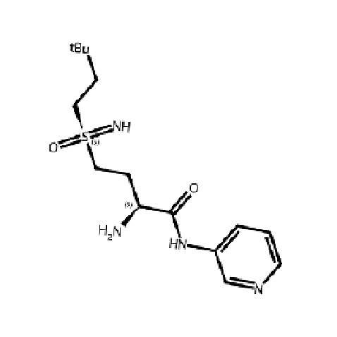 CC(C)(C)CC[S@](=N)(=O)CC[C@H](N)C(=O)Nc1cccnc1